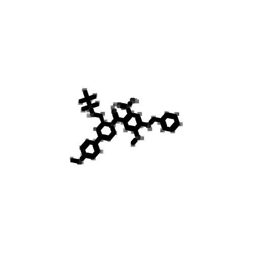 COc1ccc(C2=CCN(C(=O)c3cc(OC)c(OCc4ccccc4)cc3[N+](=O)[O-])[C@H](CO[Si](C)(C)C(C)(C)C)C2)cc1